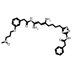 C[S+]([O-])CCCOc1cccc(CC(=O)N/C(N)=C/C=C(\N)CCCCc2nnc(NC(=O)Cc3ccccc3)s2)c1